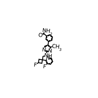 Cc1nc(NCC2(c3ncccc3F)CC(F)C2)ncc1-c1cccc(C(N)=O)c1